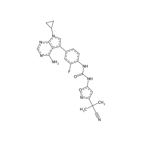 CC(C)(C#N)c1cc(NC(=O)Nc2ccc(-c3cn(C4CC4)c4ncnc(N)c34)cc2F)on1